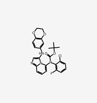 CC(C)(C)OC(=O)N(c1c(F)cccc1Cl)c1cccc2ncc(Nc3ccc4c(c3)OCCO4)n12